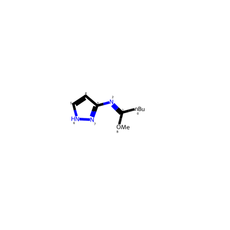 CCCCC(=Nc1cc[nH]n1)OC